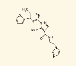 CCCCc1c(C(=O)NCCn2ccnc2)cnn1-c1ncc(C)c(-c2cccs2)n1